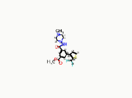 COC(=O)c1cc(C(=O)NN2CCN(C)CC2)cc(-c2ccsc2C(F)F)c1